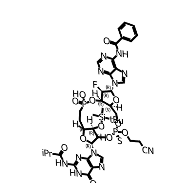 CC(C)C(=O)Nc1nc2c(ncn2[C@@H]2O[C@@H]3CCP(=O)(O)O[C@H]4[C@@H](F)[C@H](n5cnc6c(NC(=O)c7ccccc7)ncnc65)O[C@H]4COP(=S)(OCCC#N)O[C@@H]2[C@@H]3O[Si](C)(C)C(C)(C)C)c(=O)[nH]1